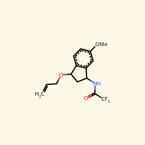 C=CCOC1CC(NC(=O)C(F)(F)F)c2cc(OC)ccc21